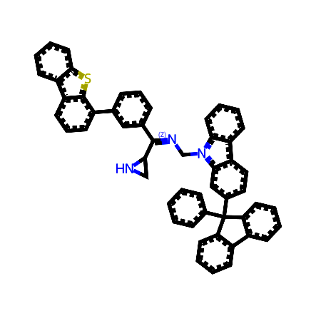 c1ccc(C2(c3ccc4c5ccccc5n(C/N=C(/c5cccc(-c6cccc7c6sc6ccccc67)c5)C5CN5)c4c3)c3ccccc3-c3ccccc32)cc1